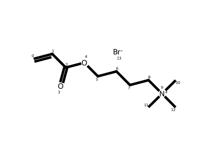 C=CC(=O)OCCCC[N+](C)(C)C.[Br-]